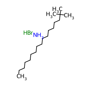 Br.CCCCCCCCCCCCCCCC(C)(C)C.N